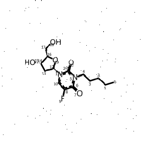 CCCCCn1c(=O)c(F)cn([C@H]2C[C@H](O)[C@@H](CO)O2)c1=O